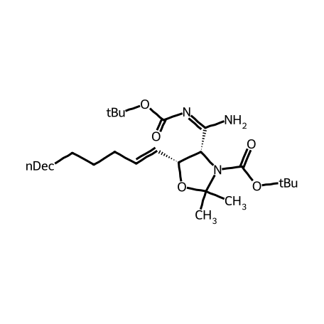 CCCCCCCCCCCCC/C=C/[C@H]1OC(C)(C)N(C(=O)OC(C)(C)C)[C@H]1/C(N)=N\C(=O)OC(C)(C)C